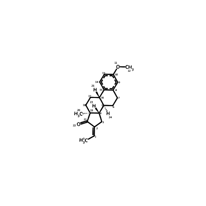 CC=C1C[C@H]2[C@@H]3CCc4cc(OC)ccc4[C@H]3CC[C@]2(C)C1=O